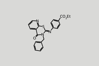 CCOC(=O)c1ccc(/N=c2\sc3ncccc3c(=O)n2Cc2ccccc2)cc1